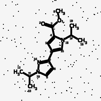 COC(=O)c1cc(-c2ccn(C(C)C)n2)cn1C(C)C